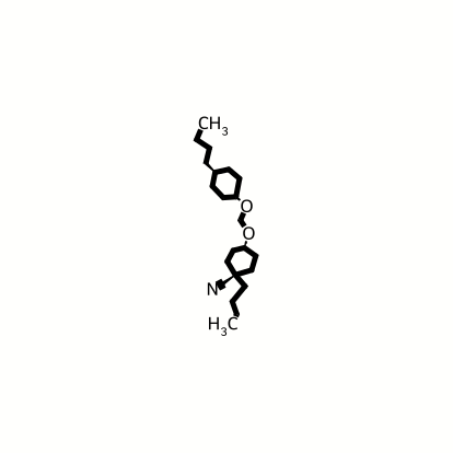 CCCC[C@H]1CC[C@H](OCO[C@H]2CC[C@@](C#N)(CCCC)CC2)CC1